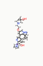 Cc1cc(N2CC3CC(C2)N3CC(O)C(C)(C)C)ncc1-c1cc(OCCN2CC3CC3(O)C2)cn2ncc(C#N)c12